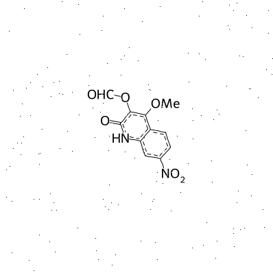 COc1c(OC=O)c(=O)[nH]c2cc([N+](=O)[O-])ccc12